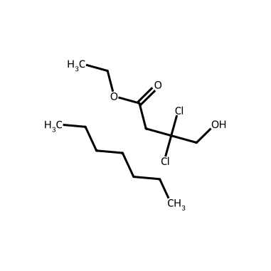 CCCCCCC.CCOC(=O)CC(Cl)(Cl)CO